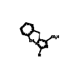 CCc1nc(Cc2ccccc2C)c(C(=O)O)s1